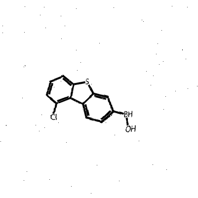 OBc1ccc2c(c1)sc1cccc(Cl)c12